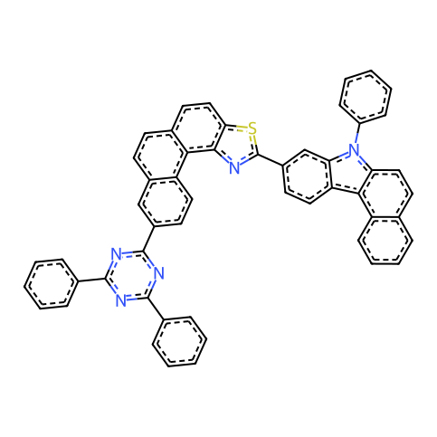 c1ccc(-c2nc(-c3ccccc3)nc(-c3ccc4c(ccc5ccc6sc(-c7ccc8c9c%10ccccc%10ccc9n(-c9ccccc9)c8c7)nc6c54)c3)n2)cc1